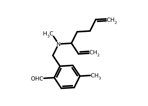 C=CCCC(C=C)N(C)Cc1cc(C)ccc1C=O